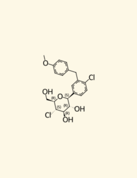 COc1ccc(Cc2cc([C@@H]3O[C@H](CO)[C@@H](Cl)[C@H](O)[C@H]3O)ccc2Cl)cc1